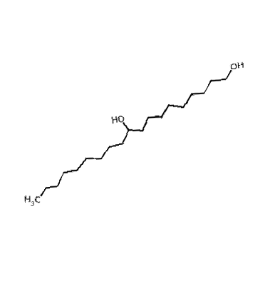 CCCCCCCCCC(O)CCCCCCCCCO